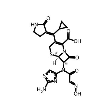 Nc1nc(N(C(=O)C=NO)[C@@H]2C(=O)N3C(C(=O)O)=C(C(=C4CCNC4=O)C4CC4)CS[C@H]23)cs1